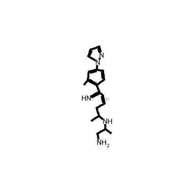 Cc1cc(-n2cccn2)ccc1C(=N)/C=C\CC(C)NC(C)CN